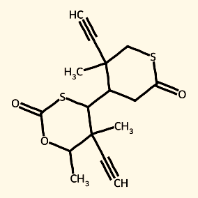 C#CC1(C)CSC(=O)CC1C1SC(=O)OC(C)C1(C)C#C